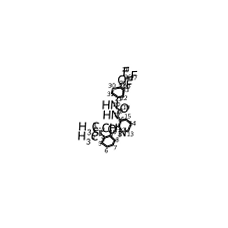 C[Si](C)(C)c1ccccc1Oc1ncccc1NC(=O)Nc1ccc(OC(F)(F)F)cc1